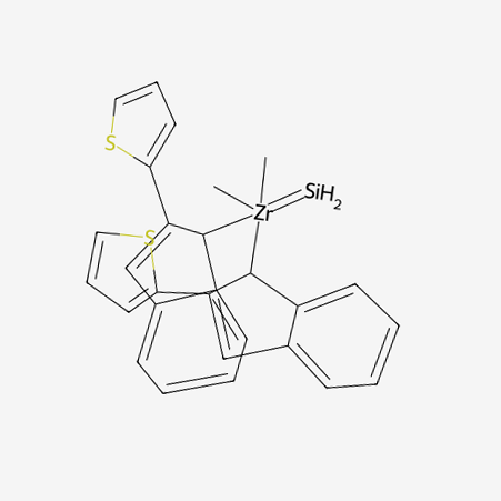 [CH3][Zr]([CH3])(=[SiH2])([CH]1C(c2cccs2)=Cc2ccccc21)[CH]1C(c2cccs2)=Cc2ccccc21